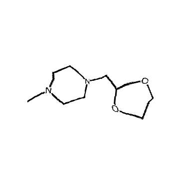 CN1CCN(CC2OCCO2)CC1